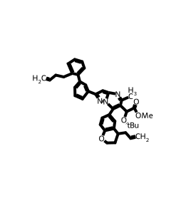 C=CCCc1ccccc1-c1cccc(-c2cc3nc(C)c(C(OC(C)(C)C)C(=O)OC)c(-c4ccc5c(c4)C(CC=C)CCO5)n3n2)c1